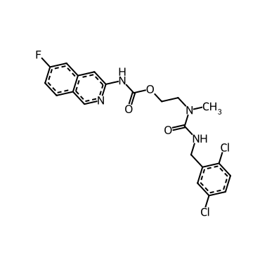 CN(CCOC(=O)Nc1cc2cc(F)ccc2cn1)C(=O)NCc1cc(Cl)ccc1Cl